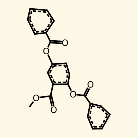 COC(=O)c1cc(OC(=O)c2ccccc2)ccc1OC(=O)c1ccccc1